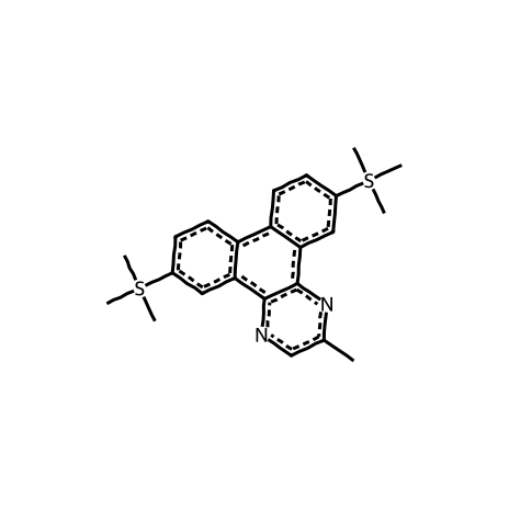 Cc1cnc2c3cc(S(C)(C)C)ccc3c3ccc(S(C)(C)C)cc3c2n1